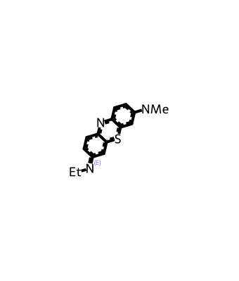 CC/N=c1\ccc2nc3ccc(NC)cc3sc-2c1